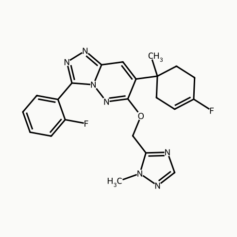 Cn1ncnc1COc1nn2c(-c3ccccc3F)nnc2cc1C1(C)CC=C(F)CC1